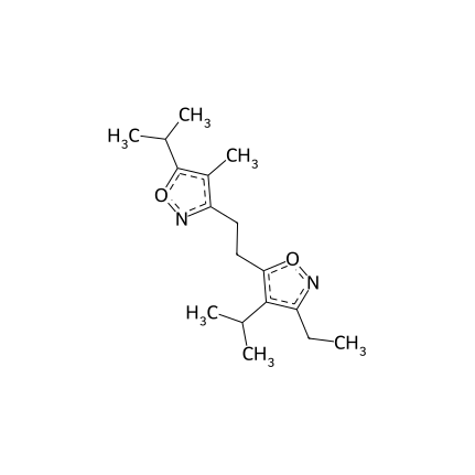 CCc1noc(CCc2noc(C(C)C)c2C)c1C(C)C